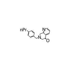 CCCc1ccc(CN2CC(=O)c3cccnc3C2)cc1